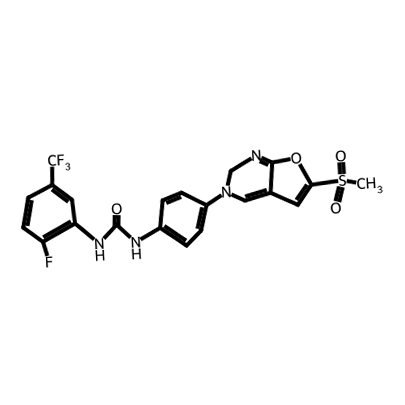 CS(=O)(=O)c1cc2c(o1)=NCN(c1ccc(NC(=O)Nc3cc(C(F)(F)F)ccc3F)cc1)C=2